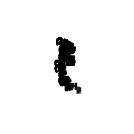 Nc1ccc(COC(=O)OC(=O)CCC(CN2C(=O)CCC2=O)Sc2ccccn2)cc1